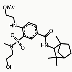 COCCNc1ccc(C(=O)NC2C3(C)CCC(C3)C2(C)C)cc1S(=O)(=O)N(C)CCO